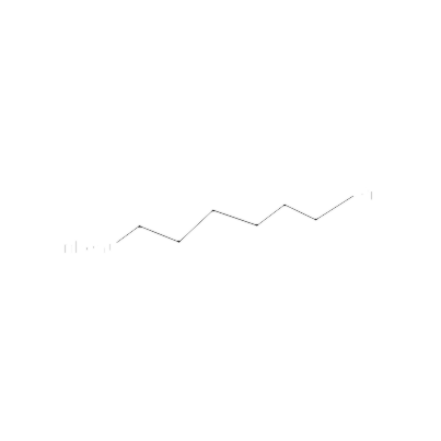 [CH2]CCCCCCCCCCC(C)C